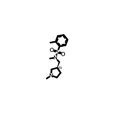 Cc1ccccc1S(=O)(=O)N(C)C[C@H]1CCN(C)C1